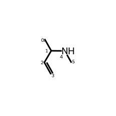 [CH2]C(C=C)NC